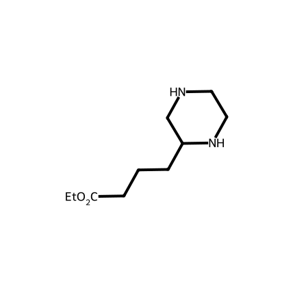 CCOC(=O)CCCC1CNCCN1